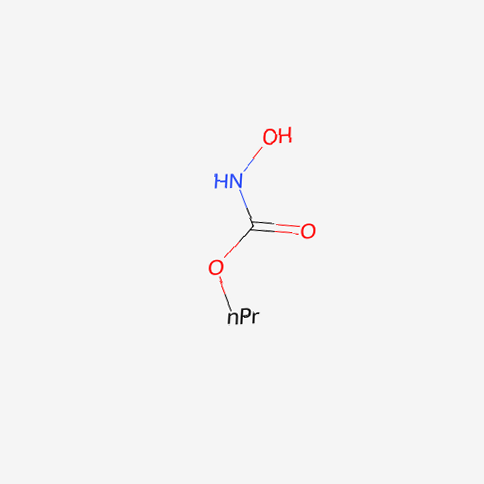 CCCOC(=O)NO